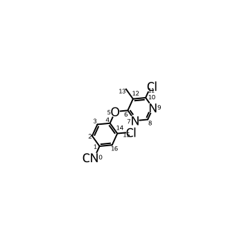 [C-]#[N+]c1ccc(Oc2ncnc(Cl)c2C)c(Cl)c1